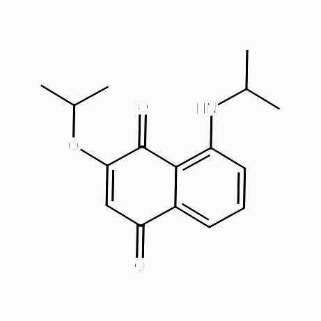 CC(C)Nc1cccc2c1C(=O)C(OC(C)C)=CC2=O